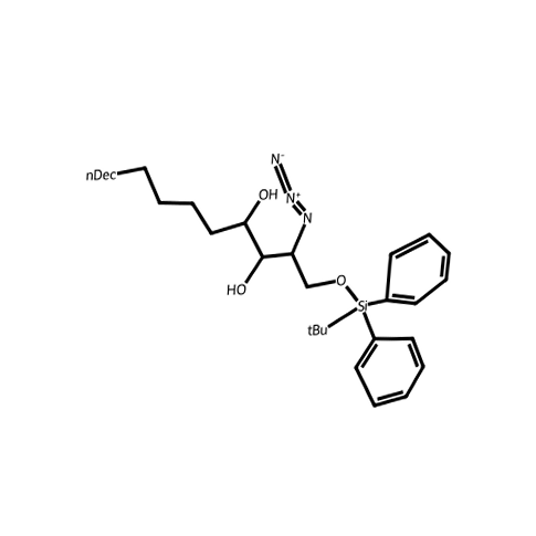 CCCCCCCCCCCCCCC(O)C(O)C(CO[Si](c1ccccc1)(c1ccccc1)C(C)(C)C)N=[N+]=[N-]